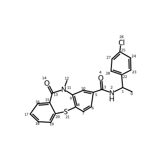 CC(NC(=O)c1ccc2c(c1)N(C)C(=O)c1ccccc1S2)c1ccc(Cl)cc1